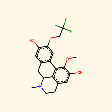 COc1c(O)cc2c3c1-c1cc(OCC(F)(F)F)c(O)cc1CC3N(C)CC2